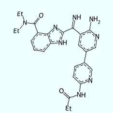 CCC(=O)Nc1ccc(-c2cnc(N)c(C(=N)c3nc4c(C(=O)N(CC)CC)cccc4[nH]3)c2)cn1